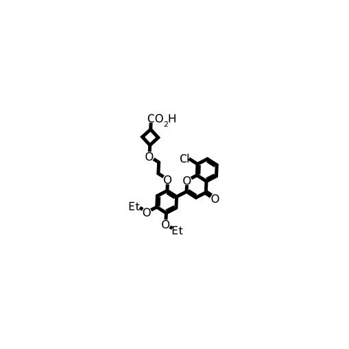 CCOc1cc(OCCOC2CC(C(=O)O)C2)c(-c2cc(=O)c3cccc(Cl)c3o2)cc1OCC